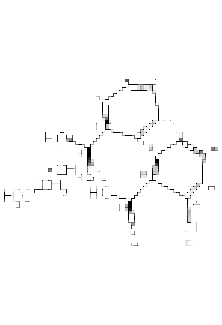 C.CC.OC(=S)c1ccccc1.OC(=S)c1ccccc1Cl